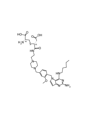 CCCCCNc1nc(N)nc2ccn(Cc3ccc(CN4CCN(CCNC(=O)[C@@H](CC(=O)O)SC[C@H](N)C(=O)O)CC4)cc3OC)c12